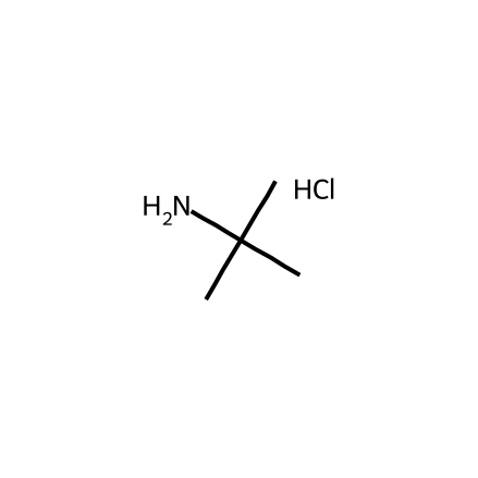 CC(C)(C)N.Cl